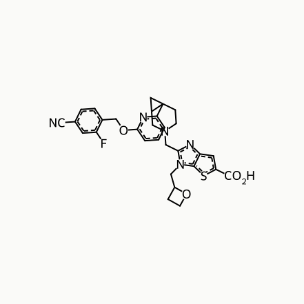 N#Cc1ccc(COc2cccc(C34CCN(Cc5nc6cc(C(=O)O)sc6n5CC5CCO5)CC3C4)n2)c(F)c1